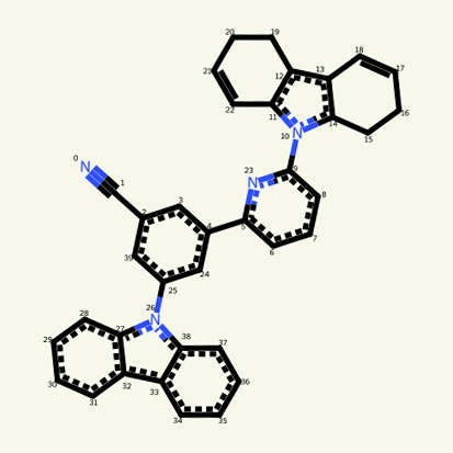 N#Cc1cc(-c2cccc(-n3c4c(c5c3CCC=C5)CCC=C4)n2)cc(-n2c3ccccc3c3ccccc32)c1